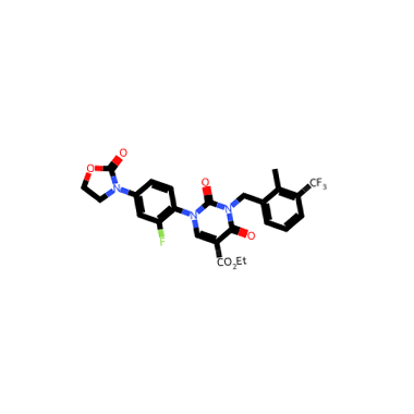 CCOC(=O)c1cn(-c2ccc(N3CCOC3=O)cc2F)c(=O)n(Cc2cccc(C(F)(F)F)c2C)c1=O